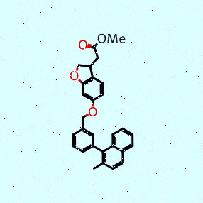 COC(=O)CC1COc2cc(OCc3cccc(-c4c(C)ccc5ccccc45)c3)ccc21